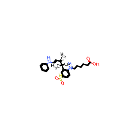 C=C(/C=C/Nc1ccccc1)C(C)(C)c1cc([SH](=O)=O)ccc1NCCCCCC(=O)O